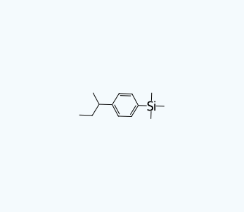 CCC(C)c1ccc([Si](C)(C)C)cc1